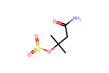 CC(C)(CC(N)=O)O[SH](=O)=O